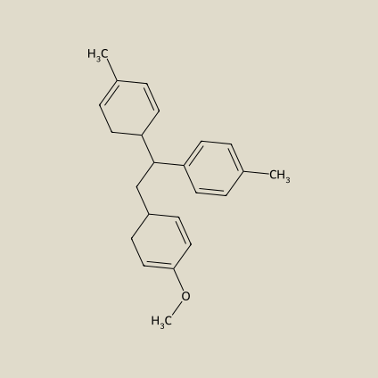 COC1=CCC(CC(c2ccc(C)cc2)C2C=CC(C)=CC2)C=C1